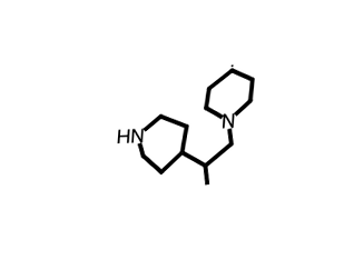 CC(CN1CC[CH]CC1)C1CCNCC1